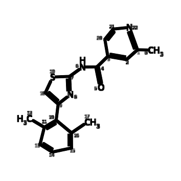 Cc1cc(C(=O)Nc2nc(-c3c(C)cccc3C)cs2)ccn1